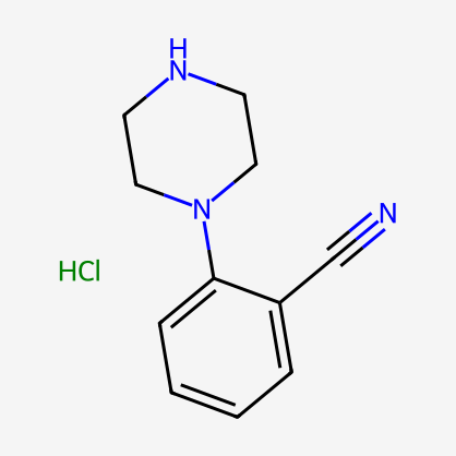 Cl.N#Cc1ccccc1N1CCNCC1